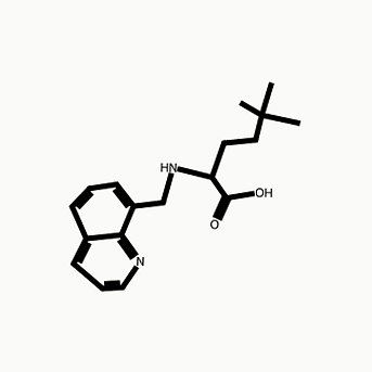 CC(C)(C)CCC(NCc1cccc2cccnc12)C(=O)O